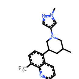 CC1CC(c2ccc(C(F)(F)F)c3ncccc23)CN(c2cnn(C)c2)C1